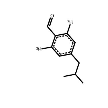 [2H]c1cc(CC(C)C)cc([2H])c1C=O